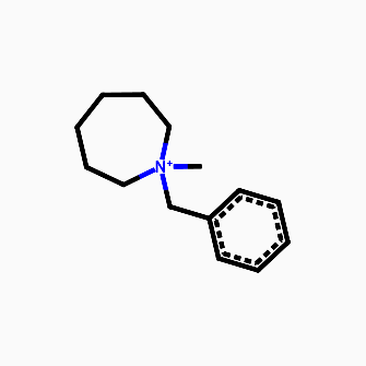 C[N+]1(Cc2ccccc2)CCCCCC1